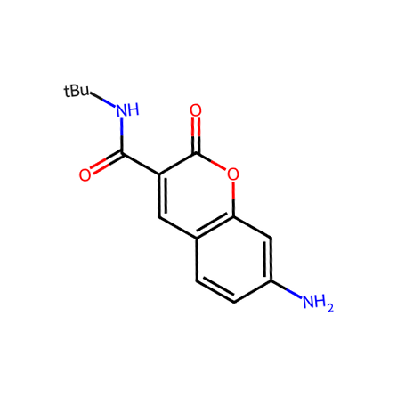 CC(C)(C)NC(=O)c1cc2ccc(N)cc2oc1=O